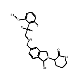 CCOc1cccc(F)c1C(F)(F)CNCc1ccc2c(c1)CN(C1CCCNC1=O)C2O